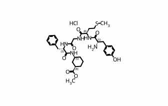 COC(=O)[C@@H]1CCC[C@H](NC(=O)[C@H](Cc2ccccc2)NC(=O)CNC(=O)[C@@H](CCSC)NC(=O)[C@@H](N)Cc2ccc(O)cc2)C1.Cl